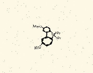 CCC[Si]1(CCC)c2ccc(OC)cc2-c2cc(OC)ccc21